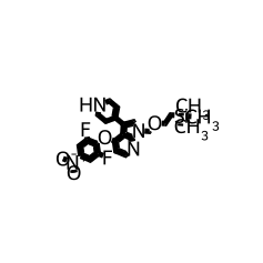 C[Si](C)(C)CCOCn1cc(C2=CCNCC2)c2c(Oc3c(F)cc([N+](=O)[O-])cc3F)ccnc21